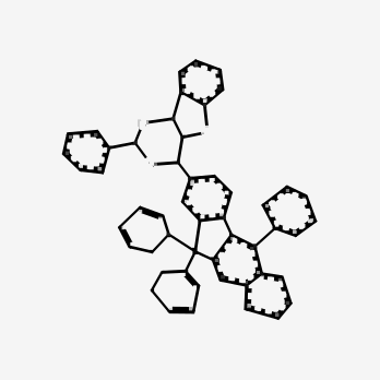 C1=CCCC(C2(C3C=CC=CC3)c3cc(C4NC(c5ccccc5)NC5c6ccccc6OC45)ccc3-c3c2cc2ccccc2c3-c2ccccc2)=C1